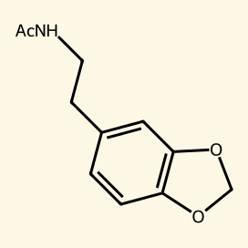 CC(=O)NCCc1ccc2c(c1)OCO2